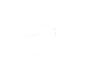 Brn1cnc2ncncc21